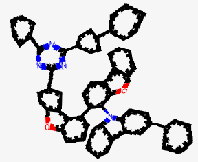 c1ccc(-c2ccc(-c3nc(-c4ccccc4)nc(-c4ccc5oc6cccc(-c7ccc8c(oc9ccccc98)c7-n7c8ccccc8c8cc(-c9ccccc9)ccc87)c6c5c4)n3)cc2)cc1